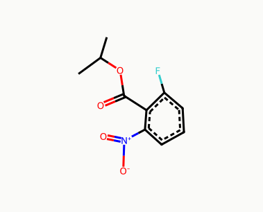 CC(C)OC(=O)c1c(F)cccc1[N+](=O)[O-]